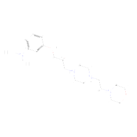 CN(C)c1cccc(OCC(O)CN2CCN(CCN3CCOCC3)CC2)c1